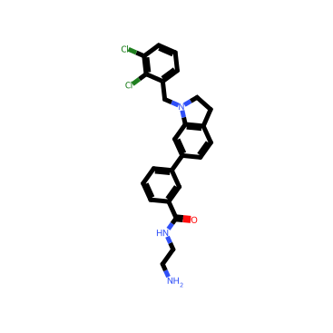 NCCNC(=O)c1cccc(-c2ccc3c(c2)N(Cc2cccc(Cl)c2Cl)CC3)c1